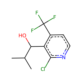 CC(C)C(O)c1c(C(F)(F)F)ccnc1Cl